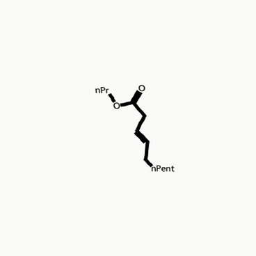 CCCCCCC=CCC(=O)OCCC